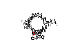 CC[C@H](C)[C@@H]1NC(=O)[C@@H](CCCNC(=N)N)NC(=O)[C@H](CC(C)C)NC(=O)[C@H]([C@H](O)C(C)C)NC(=O)[C@@H](NC(=O)[C@H](Cc2ccccc2)NC(=O)[C@H](N)Cc2ccccc2)[C@@H](c2ccccc2)OC(=O)[C@H](CO)NC(=O)[C@H]([C@H](O)C(N)=O)NC(=O)CNC(=O)[C@H]([C@H](C)O)NC1=O